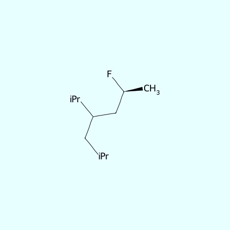 CC(C)CC(C[C@H](C)F)C(C)C